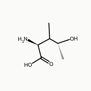 CC([C@H](N)C(=O)O)[C@@H](C)O